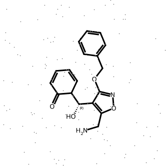 NCc1onc(OCc2ccccc2)c1[C@H](O)C1C=CC=CC1=O